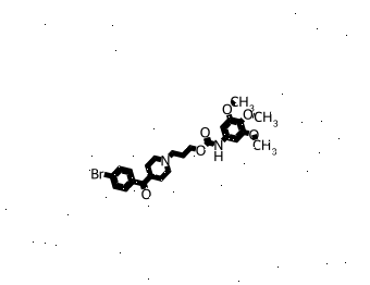 COc1cc(NC(=O)OCCCN2CCC(C(=O)c3ccc(Br)cc3)CC2)cc(OC)c1OC